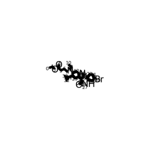 CCOC(=O)CCCN(CC)c1cc2nn(-c3ccc(Br)cc3)c(C(=O)NC)c2cc1C1CC1